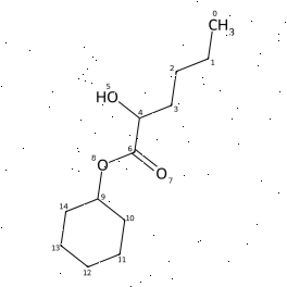 CCCCC(O)C(=O)OC1CCCCC1